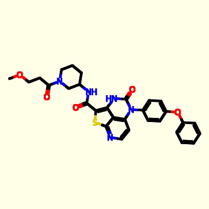 COCCC(=O)N1CCCC(NC(=O)c2sc3nccc4c3c2NC(=O)N4c2ccc(Oc3ccccc3)cc2)C1